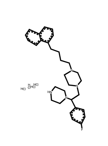 Cl.Cl.Cl.Cl.Fc1ccc(C(CN2CCN(CCCCc3cccc4ccccc34)CC2)N2CCNCC2)cc1